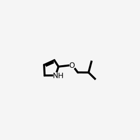 CC(C)COC1C=CCN1